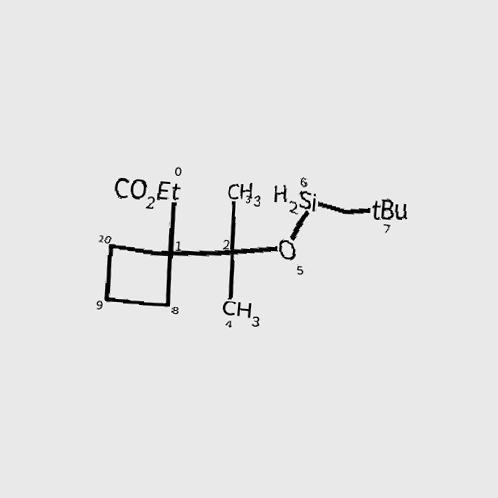 CCOC(=O)C1(C(C)(C)O[SiH2]C(C)(C)C)CCC1